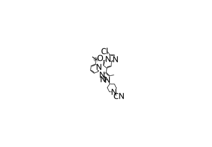 Cc1c(-c2cc(O[C@H](C)c3ccccn3)n3c(Cl)cnc3c2)nnn1C1CCN(C#N)CC1